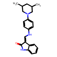 CC1CC(C)CN(c2ccc(N/C=C3/C(=O)Nc4ccccc43)cc2)C1